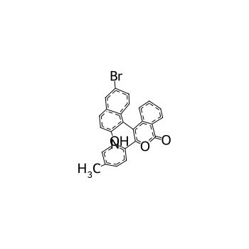 Cc1ccc(-c2oc(=O)c3ccccc3c2-c2c(O)ccc3cc(Br)ccc23)nc1